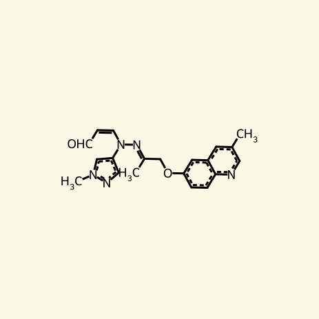 C/C(COc1ccc2ncc(C)cc2c1)=N\N(/C=C\C=O)c1cnn(C)c1